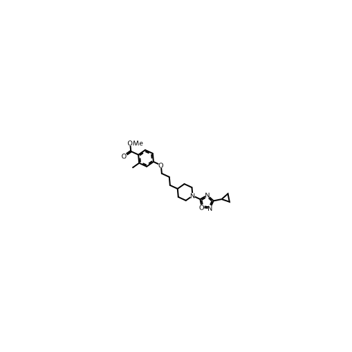 COC(=O)c1ccc(OCCCC2CCN(c3nc(C4CC4)no3)CC2)cc1C